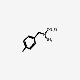 CCOC(=O)N(N)Cc1ccc(C)cc1